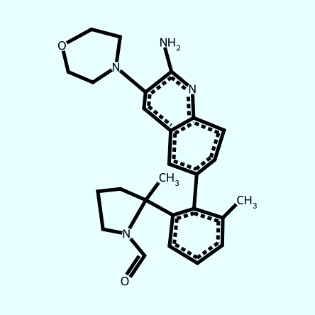 Cc1cccc(C2(C)CCCN2C=O)c1-c1ccc2nc(N)c(N3CCOCC3)cc2c1